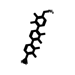 Cc1c(CP)ccc(-c2ccc(-c3ccc(C4P=P4)c(C)c3C)c(C)c2C)c1C